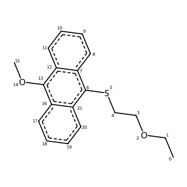 CCOCCSc1c2ccccc2c(OC)c2ccccc12